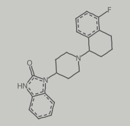 O=c1[nH]c2ccccc2n1C1CCN(C2CCCc3c(F)cccc32)CC1